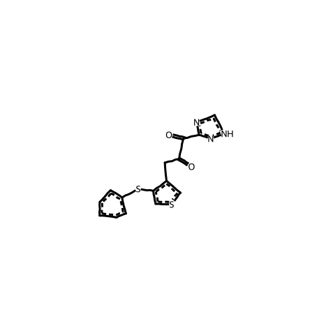 O=C(Cc1cscc1Sc1ccccc1)C(=O)c1nc[nH]n1